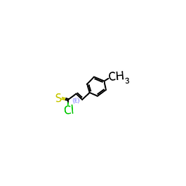 Cc1ccc(/C=C/C(=S)Cl)cc1